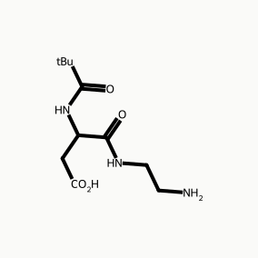 CC(C)(C)C(=O)NC(CC(=O)O)C(=O)NCCN